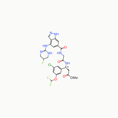 COC(=O)C[C@H](NC(=O)CNC(=O)c1cc(NC2=NCC(F)CN2)c2cn[nH]c2c1)c1cc(Cl)cc(OC(F)F)c1